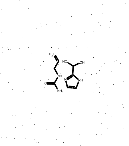 C=CCNC(N)=O.OC(O)c1ncc[nH]1